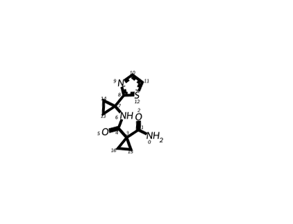 NC(=O)C1(C(=O)NC2(c3nccs3)CC2)CC1